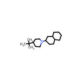 CC(C)(C)C1CCN(C2CCC3CCCCC3C2)CC1